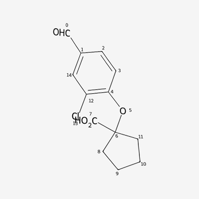 O=Cc1ccc(OC2(C(=O)O)CCCC2)c(Cl)c1